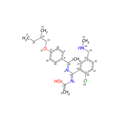 C=C(O)/N=C(\N=C(/C)c1ccc(OCC(C)CC)cc1)c1cc(CNC)ccc1Cl